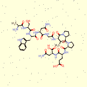 CC(C)[C@H](NC(=O)CNC(=O)[C@H](CC(N)=O)NC(=O)[C@H](Cc1c[nH]c2ccccc12)NC(=O)[C@H](CO)NC(=O)[C@H](C)N)C(=O)N1CCC[C@H]1C(=O)N1CCC[C@H]1C(=O)N[C@@H](CCC(=O)O)C(=O)N[C@@H](CC(N)=O)C(=O)O